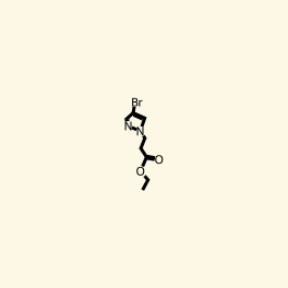 CCOC(=O)CCn1cc(Br)cn1